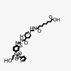 O=C(O)CCCCCCC(=O)NCCN1CCC(C(=O)Nc2nc3ccc(N(CCO)S(=O)(=O)c4cccs4)cc3s2)CC1